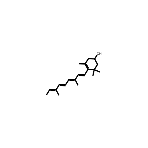 C/C=C(C)/C=C/C=C(C)/C=C/C1=C(C)CC(O)CC1(C)C